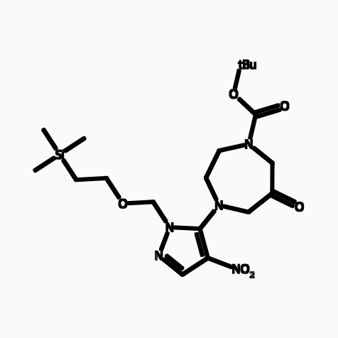 CC(C)(C)OC(=O)N1CCN(c2c([N+](=O)[O-])cnn2COCC[Si](C)(C)C)CC(=O)C1